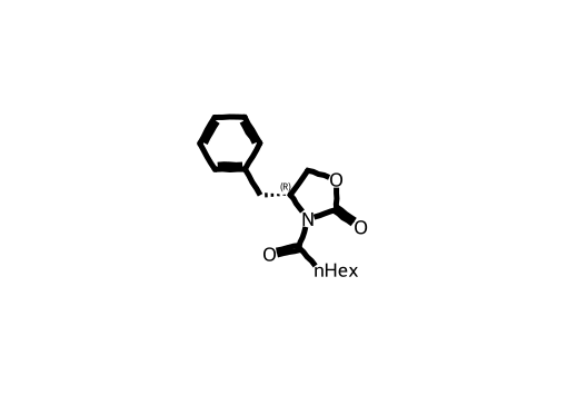 CCCCCCC(=O)N1C(=O)OC[C@H]1Cc1ccccc1